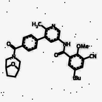 COc1c(C#N)cc(C(C)(C)C)cc1C(=O)Nc1cnc(C)c(-c2ccc(C(=O)N3CC4CCC(C3)O4)cc2)c1